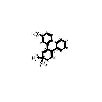 Cc1cccc(C2=CC(N)(N)CC=C2c2ccccc2)c1